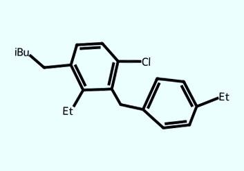 CCc1ccc(Cc2c(Cl)ccc(CC(C)CC)c2CC)cc1